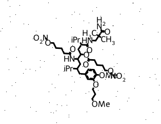 COCCCOc1cc(CC(CC(NC(=O)CCCCO[N+](=O)[O-])C(CC(C(=O)NCC(C)(C)C(N)=O)C(C)C)OC(=O)CCCCO[N+](=O)[O-])C(C)C)ccc1OC